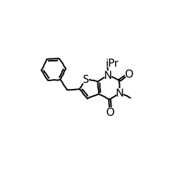 CC(C)n1c(=O)n(C)c(=O)c2cc(Cc3ccccc3)sc21